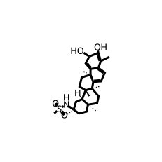 CC1=C(O)C(O)C=C2C1=CC=C1[C@@]2(C)CC[C@@]2(C)[C@@H]3C[C@](C)(NS(C)(=O)=O)CC[C@]3(C)CC[C@]12C